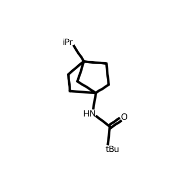 CC(C)C12CCC(NC(=O)C(C)(C)C)(CC1)C2